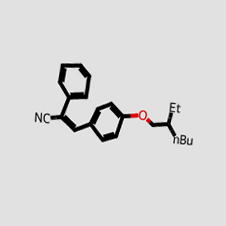 CCCCC(CC)COc1ccc(C=C(C#N)c2ccccc2)cc1